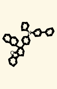 c1ccc(-c2ccc(N(c3ccccc3)c3ccc(-c4ccc5c(oc6ccccc65)c4-c4ccc5ccccc5c4)cc3)cc2)cc1